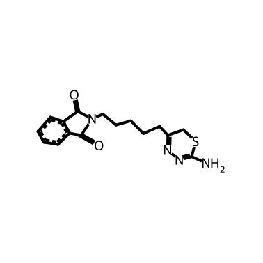 NC1=NN=C(CCCCCN2C(=O)c3ccccc3C2=O)CS1